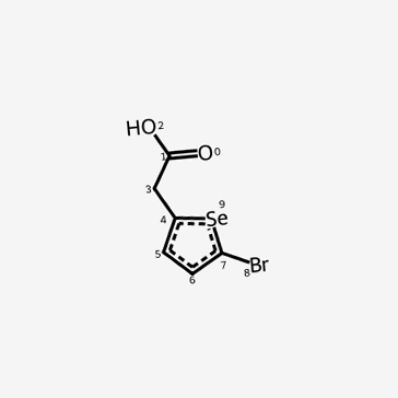 O=C(O)Cc1ccc(Br)[se]1